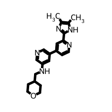 Cc1nc(-c2cc(-c3cncc(NCC4CCOCC4)c3)ccn2)[nH]c1C